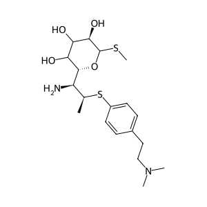 CSC1O[C@H]([C@H](N)[C@H](C)Sc2ccc(CCN(C)C)cc2)C(O)C(O)[C@H]1O